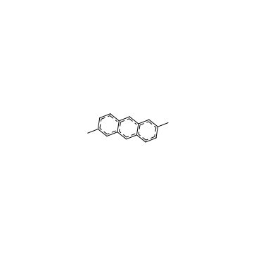 Cc1ccc2cc3cc(C)ccc3cc2c1